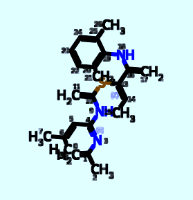 C=C(C)/N=C(\C=C(C)C)NC(=C)S/C(=C\C)C(=C)Nc1c(C)cccc1C